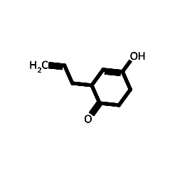 C=CCC1C=C(O)CCC1=O